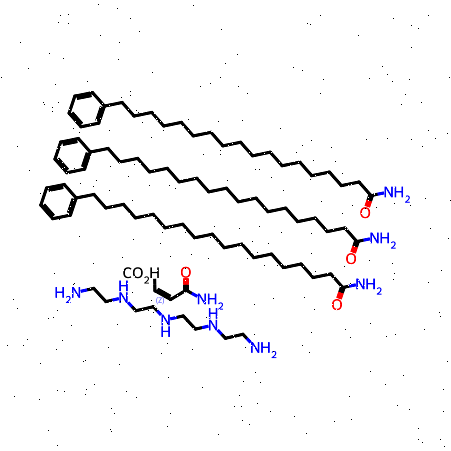 NC(=O)/C=C\C(=O)O.NC(=O)CCCCCCCCCCCCCCCCCc1ccccc1.NC(=O)CCCCCCCCCCCCCCCCCc1ccccc1.NC(=O)CCCCCCCCCCCCCCCCCc1ccccc1.NCCNCCNCCNCCN